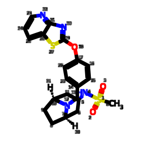 CS(=O)(=O)N[C@H]1C[C@H]2CC[C@@H](C1)N2Cc1ccc(Oc2nc3ncccc3s2)cc1